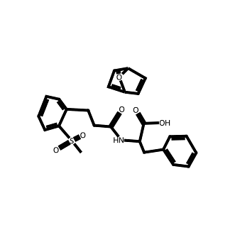 CS(=O)(=O)c1ccccc1CCC(=O)NC(Cc1ccccc1)C(=O)O.c1cc2ccc1o2